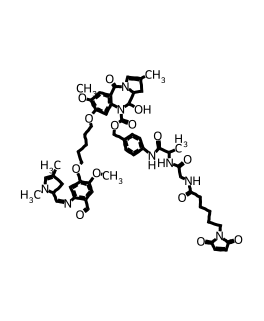 COc1cc(C=O)c(/N=C\C2CC(C)=CN2C)cc1OCCCCCOc1cc2c(cc1OC)C(=O)N1C=C(C)CC1C(O)N2C(=O)OCc1ccc(NC(=O)C(C)NC(=O)CNC(=O)CCCCCN2C(=O)C=CC2=O)cc1